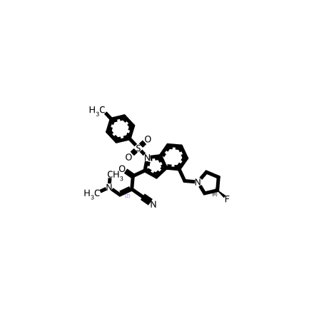 Cc1ccc(S(=O)(=O)n2c(C(=O)/C(C#N)=C\N(C)C)cc3c(CN4CC[C@@H](F)C4)cccc32)cc1